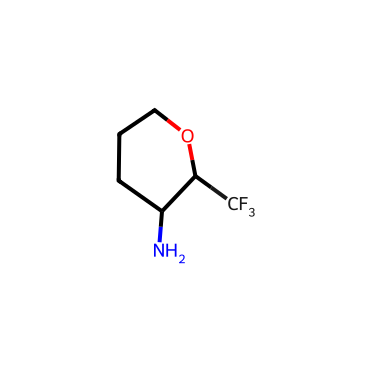 NC1CCCOC1C(F)(F)F